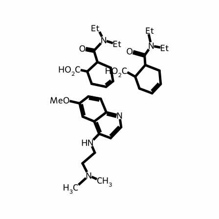 CCN(CC)C(=O)C1CC=CCC1C(=O)O.CCN(CC)C(=O)C1CC=CCC1C(=O)O.COc1ccc2nccc(NCCN(C)C)c2c1